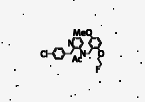 COc1ccc(OCCF)c(CN(C(C)=O)c2cccnc2Cc2ccc(Cl)cc2)c1